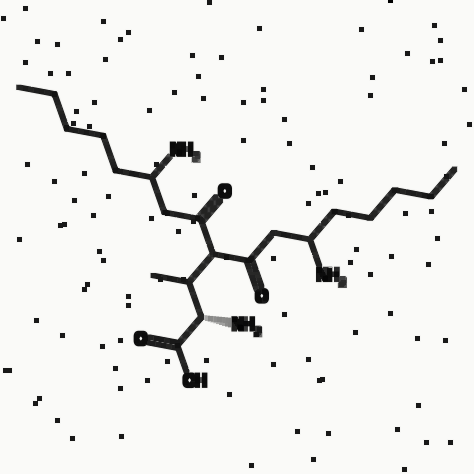 CCCCCC(N)CC(=O)C(C(=O)CC(N)CCCCC)C(C)[C@H](N)C(=O)O